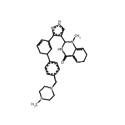 CN1CCN(Cc2ccc(C3C=C(c4n[nH]cc4C4NC(=O)C5=CCCC=C5N4C)C=CC3)cc2)CC1